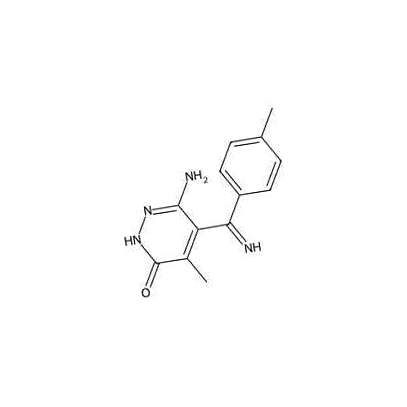 Cc1ccc(C(=N)c2c(N)n[nH]c(=O)c2C)cc1